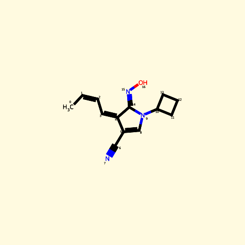 C\C=C/C=C1/C(C#N)=CN(C2CCC2)/C1=N\O